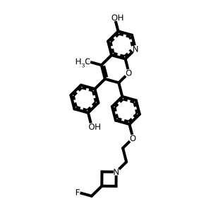 CC1=C(c2cccc(O)c2)C(c2ccc(OCCN3CC(CF)C3)cc2)Oc2ncc(O)cc21